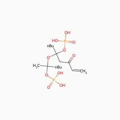 C=CC(=O)CC(CCCC)(OC(C)(CCCC)OP(=O)(O)O)OP(=O)(O)O